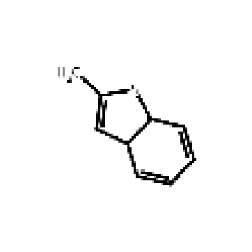 CC1=CC2C=CC=CC2S1